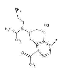 CCCN(C(C)C)C1COc2c(F)ccc(C(C)=O)c2C1.Cl